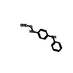 O=CONc1ccc(Nc2ccccc2)cc1